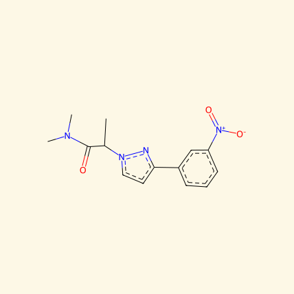 CC(C(=O)N(C)C)n1ccc(-c2cccc([N+](=O)[O-])c2)n1